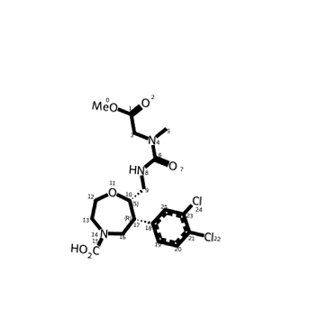 COC(=O)CN(C)C(=O)NC[C@H]1OCCN(C(=O)O)C[C@H]1c1ccc(Cl)c(Cl)c1